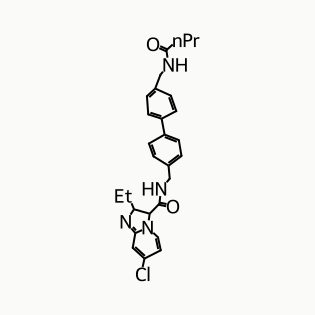 CCCC(=O)NCc1ccc(-c2ccc(CNC(=O)C3C(CC)N=C4C=C(Cl)C=CN43)cc2)cc1